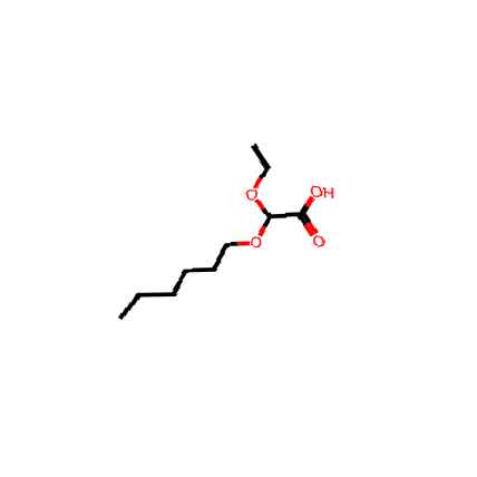 CCCCCCOC(OCC)C(=O)O